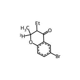 [2H]C1(C)Oc2ccc(Br)cc2C(=O)C1CC